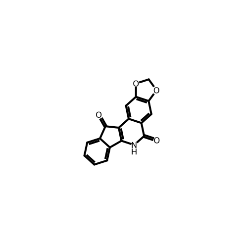 O=C1c2ccccc2-c2[nH]c(=O)c3cc4c(cc3c21)OCO4